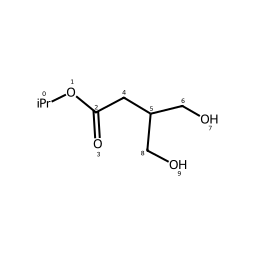 CC(C)OC(=O)CC(CO)CO